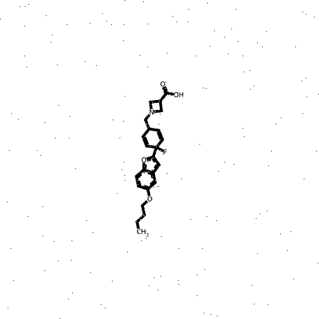 CCCCOc1ccc2oc(C3(F)C=CC(CN4CC(C(=O)O)C4)C=C3)cc2c1